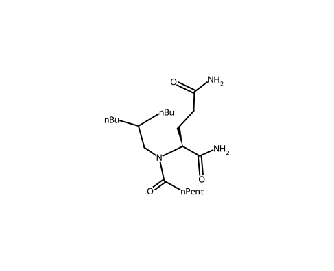 CCCCCC(=O)N(CC(CCCC)CCCC)[C@@H](CCC(N)=O)C(N)=O